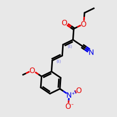 CCOC(=O)/C(C#N)=C/C=C/c1cc([N+](=O)[O-])ccc1OC